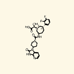 CC(C(=O)O)N1C[C@H](NC(=O)N2CCC(n3c(=O)[nH]c4ncccc43)CC2)CC[C@@H](c2cccc(F)c2F)C1